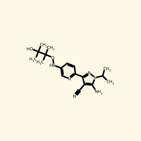 CC(C)n1nc(-c2ccc(BOC(C)(C)C(C)(C)O)cn2)c(C#N)c1N